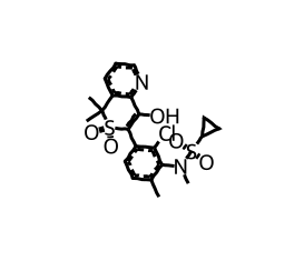 Cc1ccc(C2=C(O)c3ncccc3C(C)(C)S2(=O)=O)c(Cl)c1N(C)S(=O)(=O)C1CC1